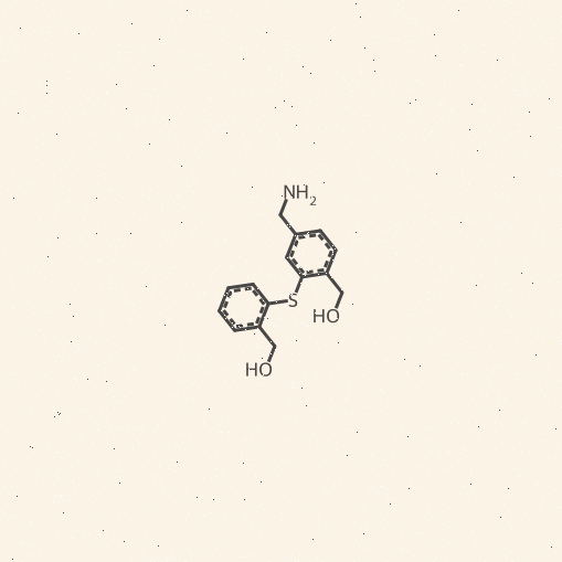 NCc1ccc(CO)c(Sc2ccccc2CO)c1